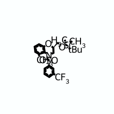 Cc1cccc2c1N(S(=O)(=O)c1cccc(C(F)(F)F)c1)C[C@H](CO[Si](C)(C)C(C)(C)C)O2